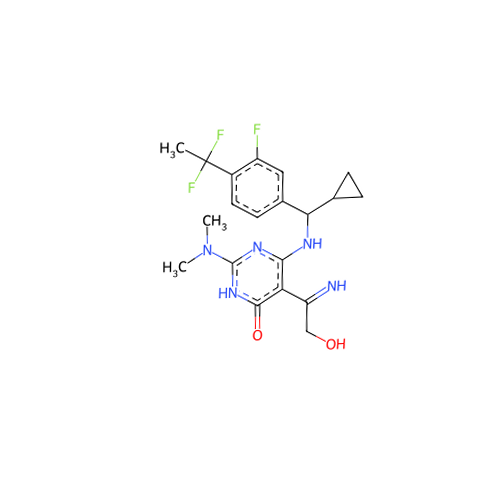 CN(C)c1nc(NC(c2ccc(C(C)(F)F)c(F)c2)C2CC2)c(C(=N)CO)c(=O)[nH]1